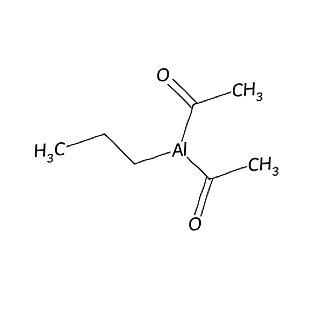 CC[CH2][Al]([C](C)=O)[C](C)=O